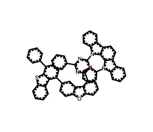 c1ccc(-c2nc(-c3cccc4oc5ccc(-c6ccc(-c7ccccc7)c7sc8ccccc8c67)cc5c34)nc(-n3c4ccccc4c4ccc5c6ccccc6n(-c6ccccc6)c5c43)n2)cc1